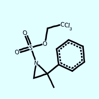 CC1(c2ccccc2)CN1S(=O)(=O)OCC(Cl)(Cl)Cl